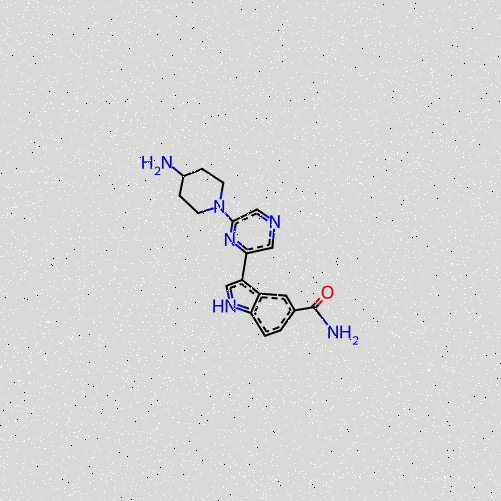 NC(=O)c1ccc2[nH]cc(-c3cncc(N4CCC(N)CC4)n3)c2c1